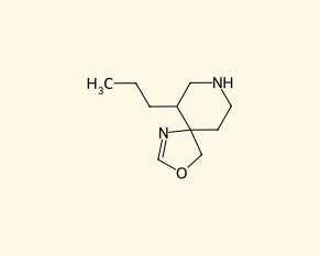 CCCC1CNCCC12COC=N2